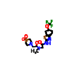 CN(CC(=O)Nc1nc2ccc(OC(F)(F)F)cc2s1)C(=O)CN1CCS(=O)(=O)CC1